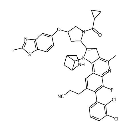 Cc1nc2cc(OC3CC(c4cc5c(C)nc6c(F)c(-c7cccc(Cl)c7Cl)c(CCC#N)cc6c5n4C4C5CNC4C5)N(C(=O)C4CC4)C3)ccc2s1